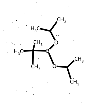 CC(C)OB(OC(C)C)C(C)(C)C